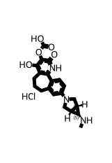 CN[C@H]1[C@@H]2CN(c3ccc4c(c3)CCCc3c-4[nH]c(=O)c(OC(=O)O)c3O)C[C@@H]21.Cl